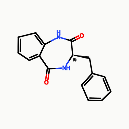 O=C1N[C@@H](Cc2ccccc2)C(=O)Nc2ccccc21